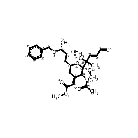 COC(=O)/C=C1\C[C@@H](C[C@@H](O)[C@@H](C)OCc2ccccc2)O[C@@](OC)(C(C)(C)/C=C/C=O)[C@H]1OC(C)=O